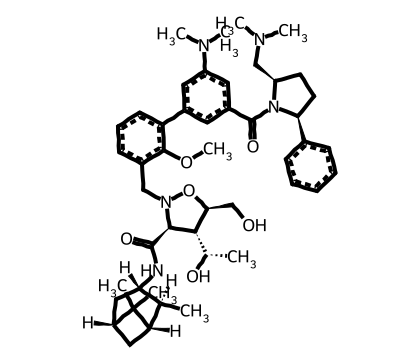 COc1c(CN2O[C@@H](CO)[C@H]([C@H](C)O)[C@H]2C(=O)N[C@H]2C[C@H]3C[C@@H]([C@@H]2C)C3(C)C)cccc1-c1cc(C(=O)N2[C@@H](CN(C)C)CC[C@H]2c2ccccc2)cc(N(C)C)c1